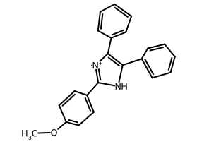 COc1ccc(C2=[N+]C(c3ccccc3)=C(c3ccccc3)N2)cc1